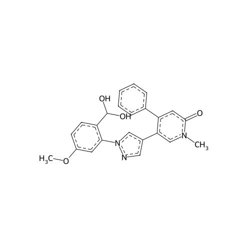 COc1ccc(C(O)O)c(-n2cc(-c3cn(C)c(=O)cc3-c3ccccc3)cn2)c1